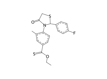 CCOC(=S)c1ccc(N2C(=O)CSC2c2ccc(F)cc2)c(C)c1